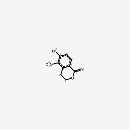 O=C1OCCc2c1ccc(Br)c2[N+](=O)[O-]